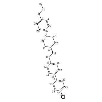 CCCc1ccc([C@H]2CC[C@H](CCc3ccc(-c4ccc(Cl)cc4)cc3)CC2)cc1